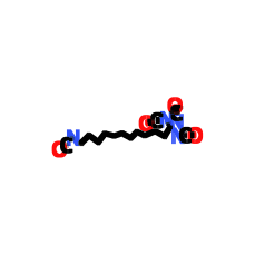 O=C=NCCCCCCCCCCCC(N=C=O)(N=C=O)N=C=O